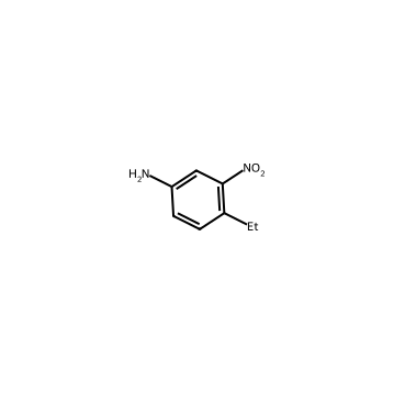 CCc1ccc(N)cc1[N+](=O)[O-]